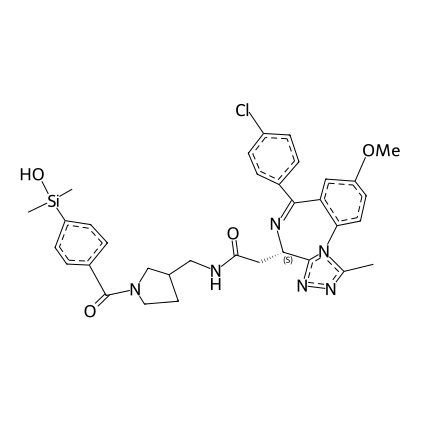 COc1ccc2c(c1)C(c1ccc(Cl)cc1)=N[C@@H](CC(=O)NCC1CCN(C(=O)c3ccc([Si](C)(C)O)cc3)C1)c1nnc(C)n1-2